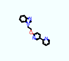 c1ccc(-c2ccc(OCCn3cnc4ccccc43)nc2)nc1